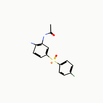 CC(=O)Nc1cc(S(=O)(=O)c2ccc(Cl)cc2)ccc1N